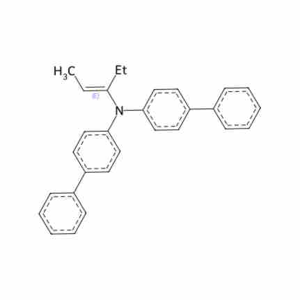 C/C=C(\CC)N(c1ccc(-c2ccccc2)cc1)c1ccc(-c2ccccc2)cc1